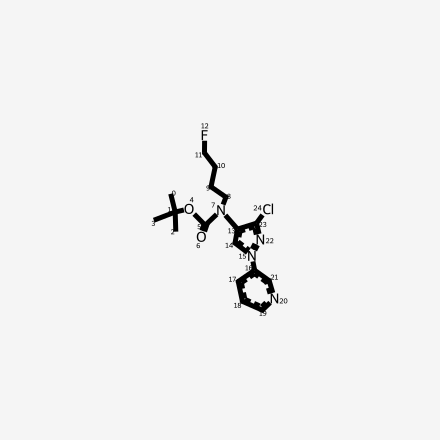 CC(C)(C)OC(=O)N(CCCCF)c1cn(-c2cccnc2)nc1Cl